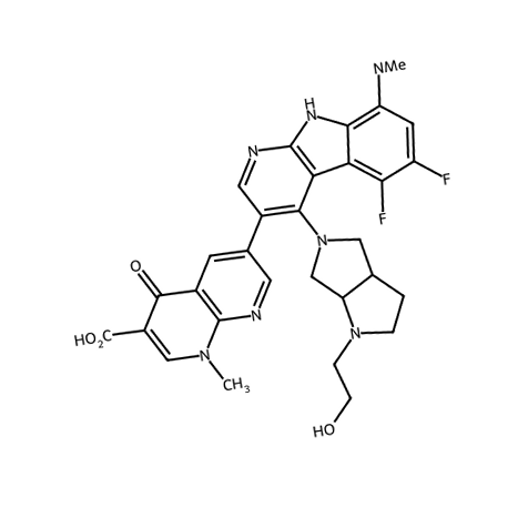 CNc1cc(F)c(F)c2c1[nH]c1ncc(-c3cnc4c(c3)c(=O)c(C(=O)O)cn4C)c(N3CC4CCN(CCO)C4C3)c12